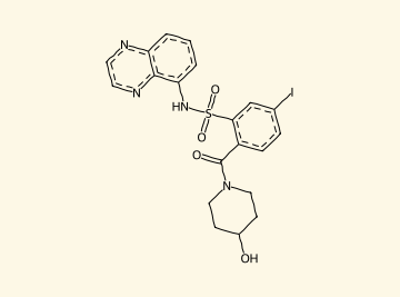 O=C(c1ccc(I)cc1S(=O)(=O)Nc1cccc2nccnc12)N1CCC(O)CC1